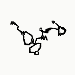 CC(C)CCN1CCN(C2(CNC(=O)CCc3ncccc3F)CCOCC2)CC1